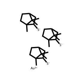 CC1(C)C2CCC1(C)C([S-])C2.CC1(C)C2CCC1(C)C([S-])C2.CC1(C)C2CCC1(C)C([S-])C2.[Au+3]